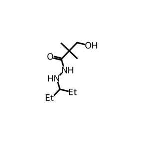 CCC(CC)NNC(=O)C(C)(C)CO